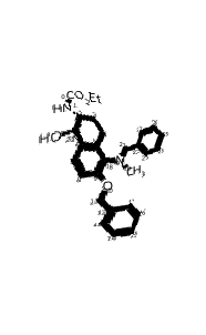 CCOC(=O)N[C@@H]1CCc2c(ccc(OCc3ccccc3)c2N(C)Cc2ccccc2)[C@H]1O